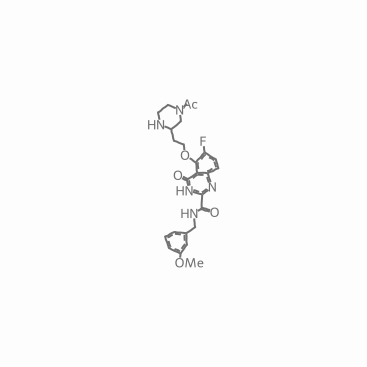 COc1cccc(CNC(=O)c2nc3ccc(F)c(OCCC4CN(C(C)=O)CCN4)c3c(=O)[nH]2)c1